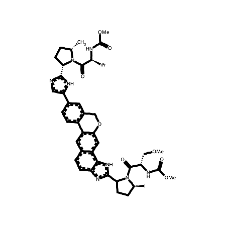 COC[C@H](NC(=O)OC)C(=O)N1C(c2nc3ccc4cc5c(cc4c3[nH]2)OCc2cc(-c3cnc([C@@H]4CC[C@H](C)N4C(=O)[C@@H](NC(=O)OC)C(C)C)[nH]3)ccc2-5)CC[C@@H]1I